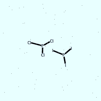 ClP(Cl)Cl.IP(I)I